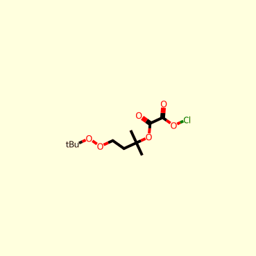 CC(C)(C)OOCCC(C)(C)OC(=O)C(=O)OCl